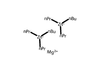 CCC[CH2][Zn-]([CH2]CC)[CH2]CC.CCC[CH2][Zn-]([CH2]CC)[CH2]CC.[Mg+2]